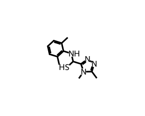 Cc1cccc(C)c1NC(S)c1nnc(C)n1C